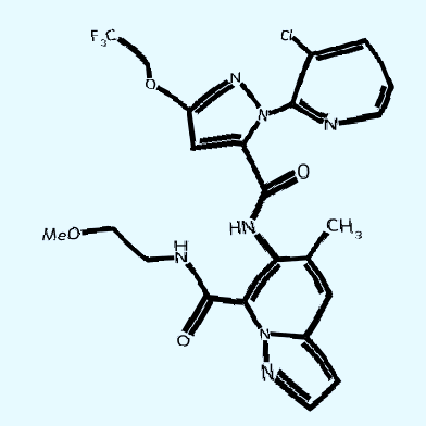 COCCNC(=O)c1c(NC(=O)c2cc(OCC(F)(F)F)nn2-c2ncccc2Cl)c(C)cc2ccnn12